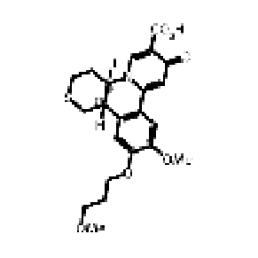 COCCCOc1cc2c(cc1OC)-c1cc(=O)c(C(=O)O)cn1[C@H]1CCSC[C@@H]21